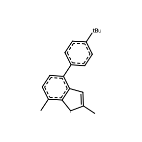 CC1=Cc2c(-c3ccc(C(C)(C)C)cc3)ccc(C)c2[CH]1